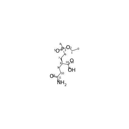 CCOP(C)(=O)CC[C@H](CCC(N)=O)C(=O)O